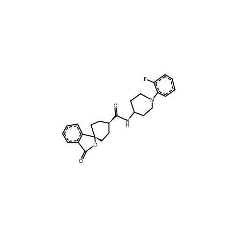 O=C1O[C@]2(CC[C@H](C(=O)NC3CCN(c4ccccc4F)CC3)CC2)c2ccccc21